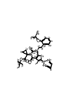 Cc1c(-n2nccn2)sc2c1c(=O)n(C1(C(=O)OC(C)(C)C)CC1)c(=O)n2CCc1ccccc1OC(F)F